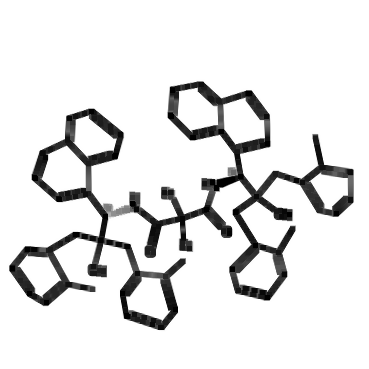 CCC(CC)(C(=O)N[C@@H](c1cccc2ccccc12)C(O)(Cc1ccccc1C)Cc1ccccc1C)C(=O)N[C@@H](c1cccc2ccccc12)C(O)(Cc1ccccc1C)Cc1ccccc1C